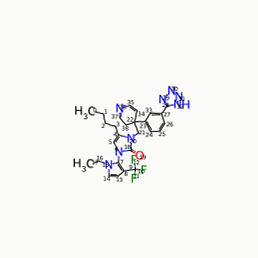 CCCCc1cn(-c2c(C(F)(F)F)ccn2CC)c(=O)n1CC1(c2cccc(-c3nnn[nH]3)c2)C=CN=CC1